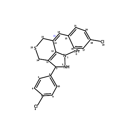 CCCN1NC(c2ccc(Cl)cc2)C2=C1/C(=C\c1ccc(Cl)cc1)CSC2